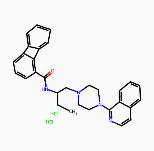 CCC(CN1CCN(c2nccc3ccccc23)CC1)NC(=O)c1cccc2c1-c1ccccc1-2.Cl.Cl